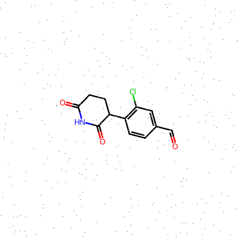 O=Cc1ccc(C2CCC(=O)NC2=O)c(Cl)c1